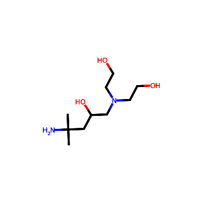 CC(C)(N)CC(O)CN(CCO)CCO